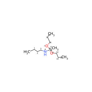 CCCCN[Si](C)(OCCC)OCCC